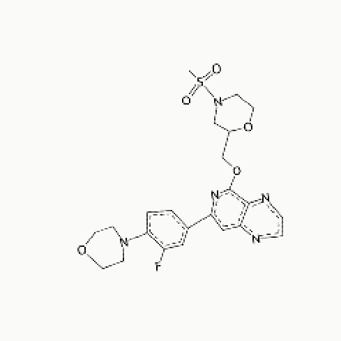 CS(=O)(=O)N1CCOC(COc2nc(-c3ccc(N4CCOCC4)c(F)c3)cc3nccnc23)C1